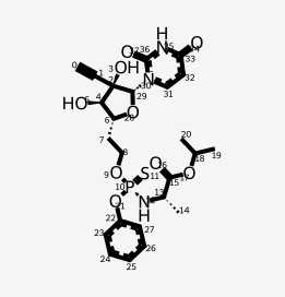 C#C[C@@]1(O)[C@H](O)[C@@H](CCO[P@](=S)(N[C@@H](C)C(=O)OC(C)C)Oc2ccccc2)O[C@H]1n1ccc(=O)[nH]c1=O